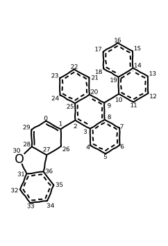 C1=C(c2c3ccccc3c(-c3cccc4ccccc34)c3ccccc23)CC2C(=C1)Oc1ccccc12